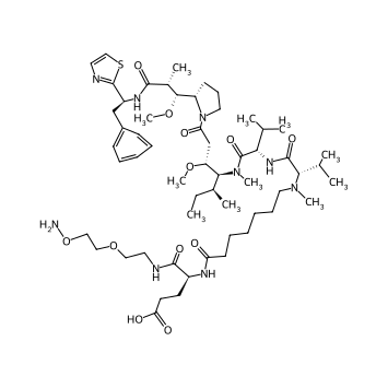 CC[C@H](C)[C@@H]([C@@H](CC(=O)N1CCC[C@H]1[C@H](OC)[C@@H](C)C(=O)N[C@@H](Cc1ccccc1)c1nccs1)OC)N(C)C(=O)[C@@H](NC(=O)[C@H](C(C)C)N(C)CCCCCCC(=O)N[C@@H](CCC(=O)O)C(=O)NCCOCCON)C(C)C